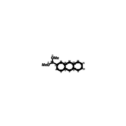 COB(OC)c1ccc2cc3ccccc3cc2c1